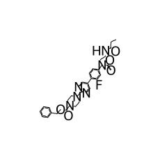 CCC(=O)NC1CN(c2ccc(-c3cnc(N4CCN(C(=O)OCc5ccccc5)CC4)nc3)c(F)c2)C(=O)O1